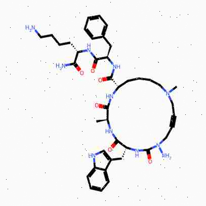 C[C@@H]1NC(=O)[C@@H](Cc2c[nH]c3ccccc23)NC(=O)N(N)CC#CCN(C)CCCC[C@@H](C(=O)N[C@H](Cc2ccccc2)C(=O)N[C@@H](CCCCN)C(N)=O)NC1=O